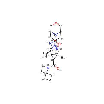 Cc1noc(N2C3COCC2CC(N2C[C@@H]4[C@H](C2)[C@@H]4C(=O)N2CCC24CCC4)C3)n1